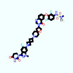 CCN(C)S(=O)(=O)Nc1ccc(F)c(Oc2ccc3ncn(C4COC5(CCN(C6CC7(C6)CN(c6cc8c(cc6F)c(N6CCC(=O)NC6=O)nn8C)C7)CC5)C4)c(=O)c3c2)c1F